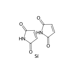 O=C1C=CC(=O)N1.O=C1C=CC(=O)N1.[Si]